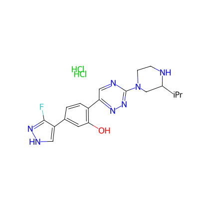 CC(C)C1CN(c2ncc(-c3ccc(-c4c[nH]nc4F)cc3O)nn2)CCN1.Cl.Cl